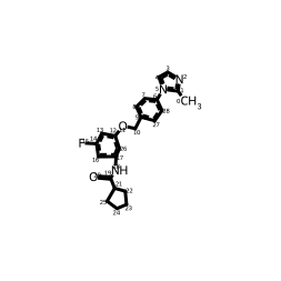 Cc1nccn1-c1ccc(COc2cc(F)cc(NC(=O)C3CCCC3)c2)cc1